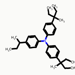 CCC(C)c1ccc(N(c2ccc(C(C)(CC)CC)cc2)c2ccc(C(C)(CC)CC)cc2)cc1